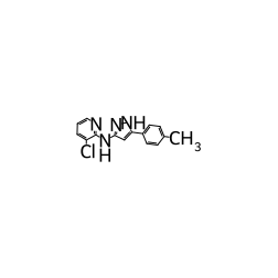 Cc1ccc(-c2cc(Nc3ncccc3Cl)n[nH]2)cc1